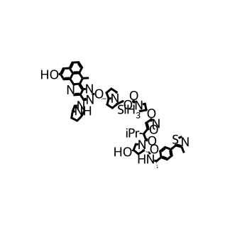 Cc1ncsc1-c1ccc([C@H](C)NC(=O)[C@@H]2C[C@@H](O)CN2C(=O)[C@H](c2cc(OC3CN(C(=O)OC[C@]4([SiH3])CC[C@@]5(COc6nc(N7CC8CCC(C7)N8)c7cnc8c(c7n6)C(C)c6cccc7cc(O)cc-8c67)CCCN45)C3)no2)C(C)C)cc1